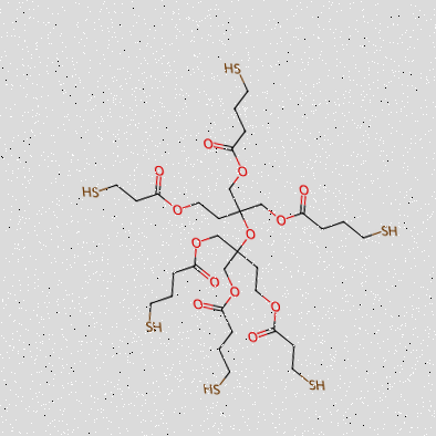 O=C(CCS)OCCC(COC(=O)CCCS)(COC(=O)CCCS)OC(CCOC(=O)CCS)(COC(=O)CCCS)COC(=O)CCCS